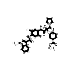 COC(=O)[C@H]1CC[C@H](OC(N2CCCC2)C(C)(C)C(=O)Cc2cc(Cl)c(NC(=O)c3cn(C)c4ccccc34)cc2F)CC1